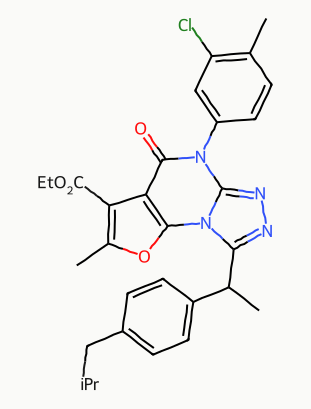 CCOC(=O)c1c(C)oc2c1c(=O)n(-c1ccc(C)c(Cl)c1)c1nnc(C(C)c3ccc(CC(C)C)cc3)n21